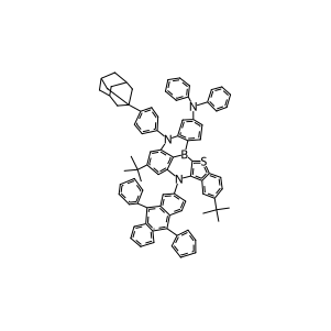 CC(C)(C)c1cc2c3c(c1)N(c1ccc4c(-c5ccccc5)c5ccccc5c(-c5ccccc5)c4c1)c1c(sc4ccc(C(C)(C)C)cc14)B3c1ccc(N(c3ccccc3)c3ccccc3)cc1N2c1ccc(C23CC4CC(CC(C4)C2)C3)cc1